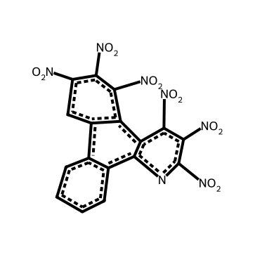 O=[N+]([O-])c1cc2c3ccccc3c3nc([N+](=O)[O-])c([N+](=O)[O-])c([N+](=O)[O-])c3c2c([N+](=O)[O-])c1[N+](=O)[O-]